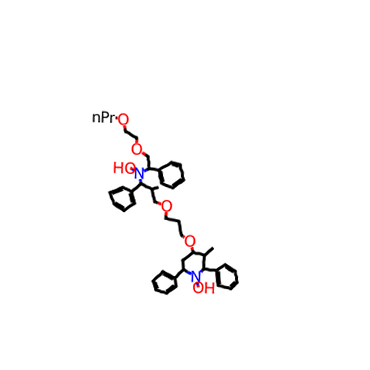 CCCOCCOCC(c1ccccc1)N(O)C(c1ccccc1)C(C)COCCCOC1CC(c2ccccc2)N(O)C(c2ccccc2)C1C